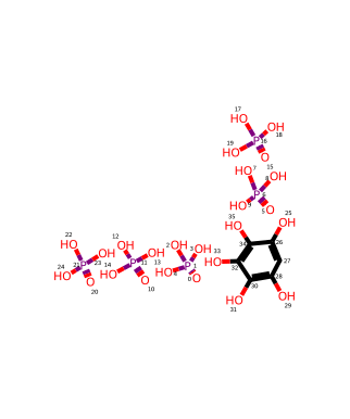 O=P(O)(O)O.O=P(O)(O)O.O=P(O)(O)O.O=P(O)(O)O.O=P(O)(O)O.Oc1cc(O)c(O)c(O)c1O